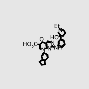 CCN1CCCC(O)(c2cccc(Nc3ncc4c(=O)c(C(=O)O)cn(-c5ccc6c(c5)CCC6)c4n3)c2)C1